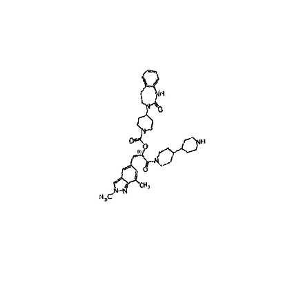 Cc1cc(C[C@@H](OC(=O)N2CCC(N3CCc4ccccc4NC3=O)CC2)C(=O)N2CCC(C3CCNCC3)CC2)cc2cn(C)nc12